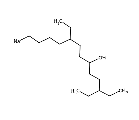 CCC(CC)CCC(O)CCC(CC)CCC[CH2][Na]